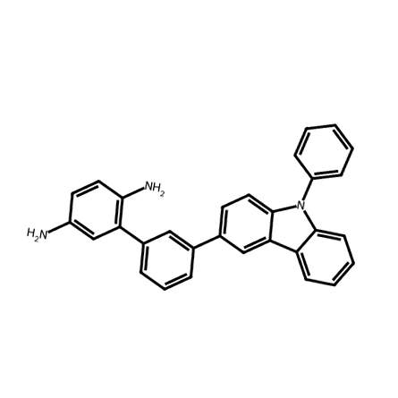 Nc1ccc(N)c(-c2cccc(-c3ccc4c(c3)c3ccccc3n4-c3ccccc3)c2)c1